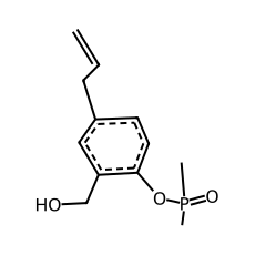 C=CCc1ccc(OP(C)(C)=O)c(CO)c1